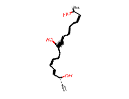 CCCCC(O)\C=C/C=C/C=C/C(O)C/C=C\C=C\[C@H](O)CC